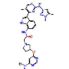 CCNc1cc(OC2CCN(CC(=O)Nc3cccc4c(-c5nc(Nc6cc(C)n(C)n6)ncc5C)c[nH]c34)C2)ncn1